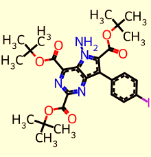 CC(C)(C)OC(=O)c1nc(C(=O)OC(C)(C)C)c2c(n1)c(-c1ccc(I)cc1)c(C(=O)OC(C)(C)C)n2N